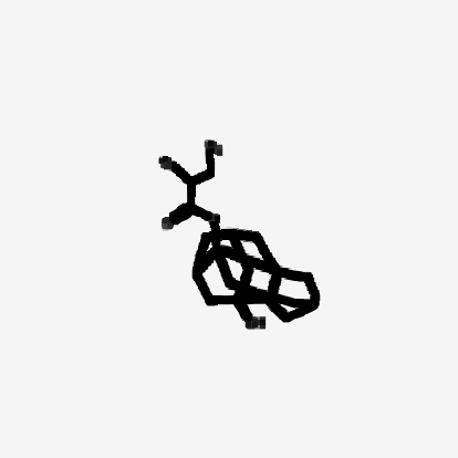 CC(C)(C)CC(C(=O)OC12CC3CC4C5(O)CC(CC1C5)CC42C3)C(C)(C)C